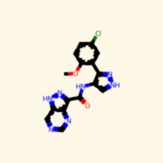 COc1ccc(Cl)cc1-c1n[nH]cc1NC(=O)c1n[nH]c2cncnc12